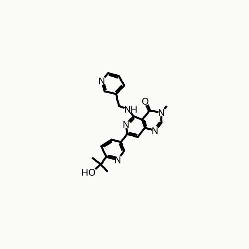 Cn1cnc2cc(-c3ccc(C(C)(C)O)nc3)nc(NCc3cccnc3)c2c1=O